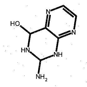 NC1Nc2nccnc2C(O)N1